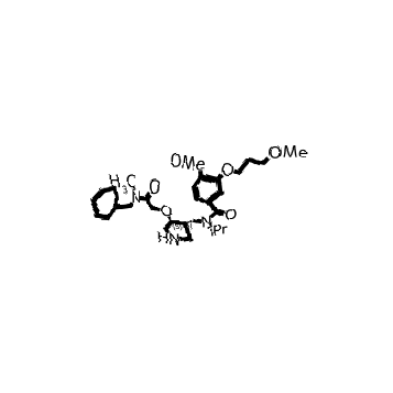 COCCCOc1cc(C(=O)N(C[C@@H]2CNC[C@H]2OCC(=O)N(C)CC2CCCCC2)C(C)C)ccc1OC